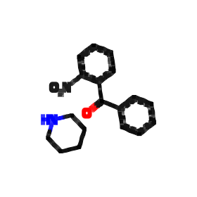 C1CCNCC1.O=C(c1ccccc1)c1ccccc1[N+](=O)[O-]